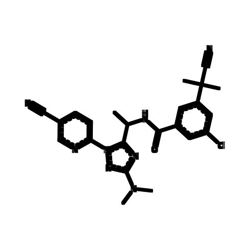 CC(NC(=O)c1cc(Cl)cc(C(C)(C)C#N)c1)c1nc(N(C)C)nn1-c1ccc(C#N)cn1